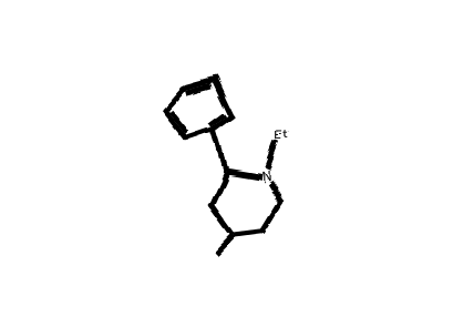 CCN1CCC(C)CC1c1ccccc1